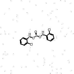 O=S(ONc1ccccc1Cl)ONc1ccccc1Cl